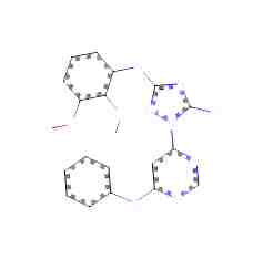 COc1cccc(Nc2nc(N)n(-c3cc(Nc4ccccc4)ncn3)n2)c1OC